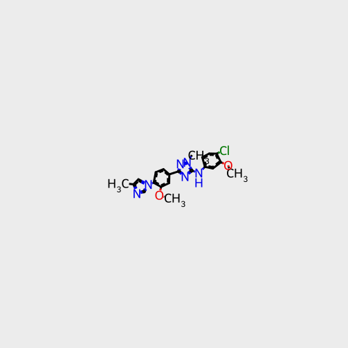 COc1cc(Nc2nc(-c3ccc(-n4cnc(C)c4)c(OC)c3)nn2C)ccc1Cl